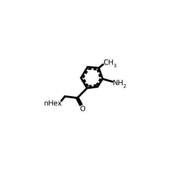 CCCCCCCC(=O)c1ccc(C)c(N)c1